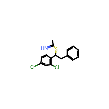 CC(=N)SC(Cc1ccccc1)c1ccc(Cl)cc1Cl